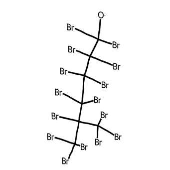 [O]C(Br)(Br)C(Br)(Br)C(Br)(Br)C(Br)(Br)C(Br)(C(Br)(Br)Br)C(Br)(Br)Br